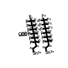 FC(F)(F)C(F)(F)C(F)(F)C(F)(F)C(F)(F)C(F)(F)C[CH2][Sn+3].FC(F)(F)C(F)(F)C(F)(F)C(F)(F)C(F)(F)C(F)(F)C[CH2][Sn+3].[O-2].[O-2].[O-2]